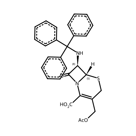 CC(=O)OCC1=C(C(=O)O)N2C(=O)[C@@H](NC(c3ccccc3)(c3ccccc3)c3ccccc3)[C@@H]2SC1